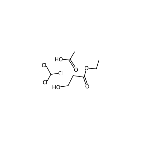 CC(=O)O.CCOC(=O)CCO.ClC(Cl)Cl